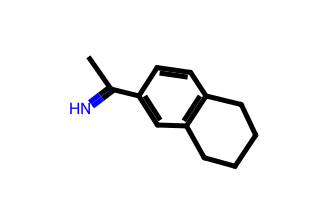 CC(=N)c1ccc2c(c1)CCCC2